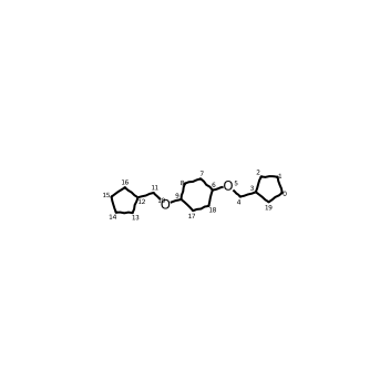 C1CCC(COC2CCC(OCC3CCCC3)CC2)C1